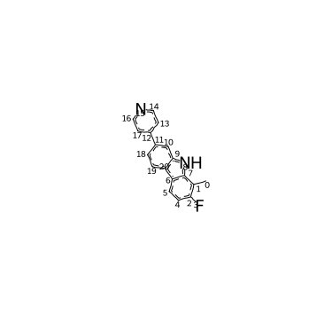 Cc1c(F)ccc2c1[nH]c1cc(-c3ccncc3)ccc12